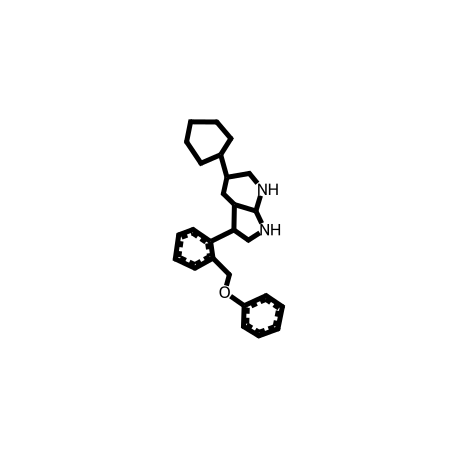 c1ccc(OCc2ccccc2C2CNC3NCC(C4CCCCC4)CC32)cc1